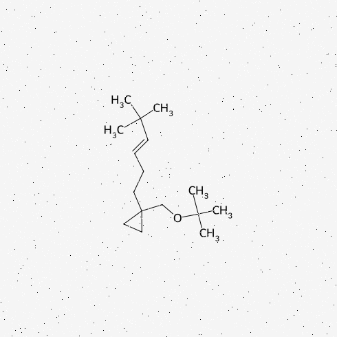 CC(C)(C)/C=C/CCC1(COC(C)(C)C)CC1